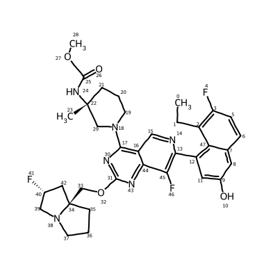 CCc1c(F)ccc2cc(O)cc(-c3ncc4c(N5CCC[C@@](C)(NC(=O)OC)C5)nc(OC[C@@]56CCCN5C[C@H](F)C6)nc4c3F)c12